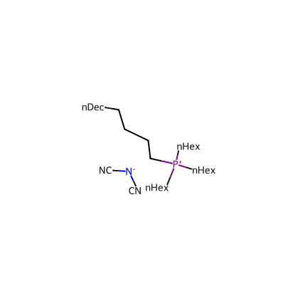 CCCCCCCCCCCCCC[P+](CCCCCC)(CCCCCC)CCCCCC.N#C[N-]C#N